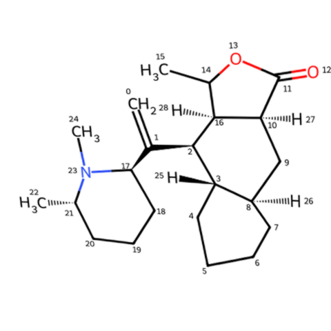 C=C([C@@H]1[C@H]2CCCC[C@@H]2C[C@@H]2C(=O)OC(C)[C@H]12)[C@H]1CCC[C@H](C)N1C